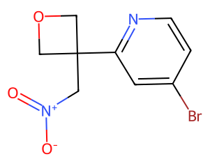 O=[N+]([O-])CC1(c2cc(Br)ccn2)COC1